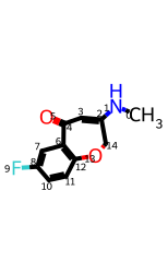 CNC1=CC(=O)c2cc(F)ccc2OC1